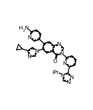 CC(C)n1cnnc1-c1cccc(-n2cnc3cc(-c4ccc(N)nc4)c(-n4cnc(C5CC5)c4)cc3c2=O)n1